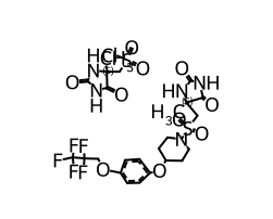 C[C@]1(CS(=O)(=O)Cl)NC(=O)NC1=O.C[C@]1(CS(=O)(=O)N2CCC(Oc3ccc(OCC(F)(F)C(F)(F)F)cc3)CC2)NC(=O)NC1=O